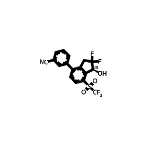 N#Cc1cccc(-c2ccc(S(=O)(=O)C(F)(F)F)c3c2CC(F)(F)[C@H]3O)c1